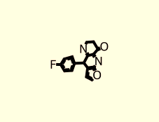 O=C1CCN=C2C1=Nc1occc1C2c1ccc(F)cc1